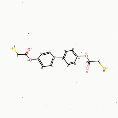 O=C(CS)Oc1ccc(-c2ccc(OC(=O)CS)cc2)cc1